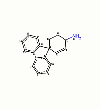 NC1C=CC(c2ccccc2)(c2ccccc2)CC1